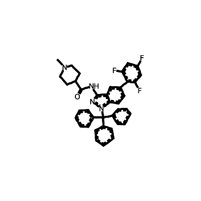 CN1CCC(C(=O)Nc2nn(C(c3ccccc3)(c3ccccc3)c3ccccc3)c3ccc(-c4c(F)cc(F)cc4F)cc23)CC1